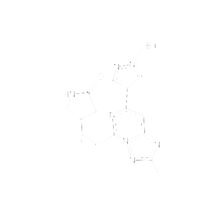 Cc1nc2cc(-c3cnn(C(C)(C)C)c3)nc(O[C@H](C)C3CNC(=O)C3)n2n1